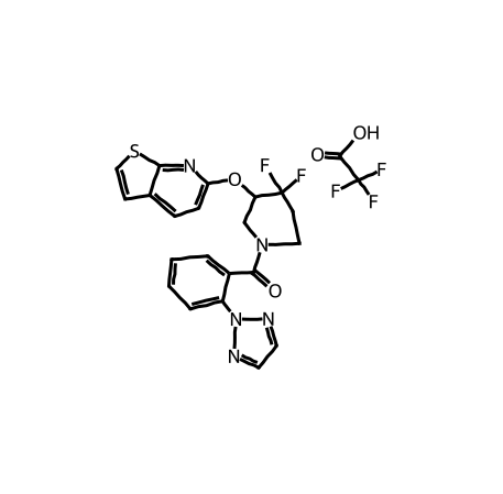 O=C(O)C(F)(F)F.O=C(c1ccccc1-n1nccn1)N1CCC(F)(F)C(Oc2ccc3ccsc3n2)C1